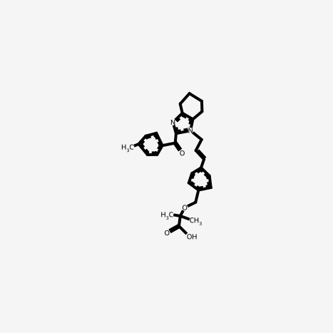 Cc1ccc(C(=O)c2nc3c(n2CC=Cc2ccc(COC(C)(C)C(=O)O)cc2)CCCC3)cc1